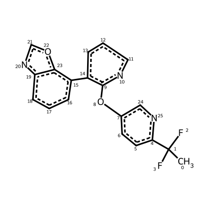 CC(F)(F)c1ccc(Oc2ncccc2-c2cccc3ncoc23)cn1